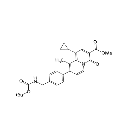 COC(=O)c1cc(C2CC2)c2c(C)c(-c3ccc(CNC(=O)OC(C)(C)C)cc3)ccn2c1=O